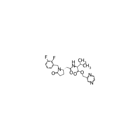 CC(C)[C@H](NC(=O)C[C@@H]1CCC(=O)N1Cc1cccc(F)c1F)C(=O)OCc1cnccn1